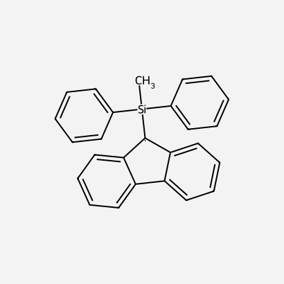 C[Si]([C]1c2ccccc2-c2ccccc21)(c1ccccc1)c1ccccc1